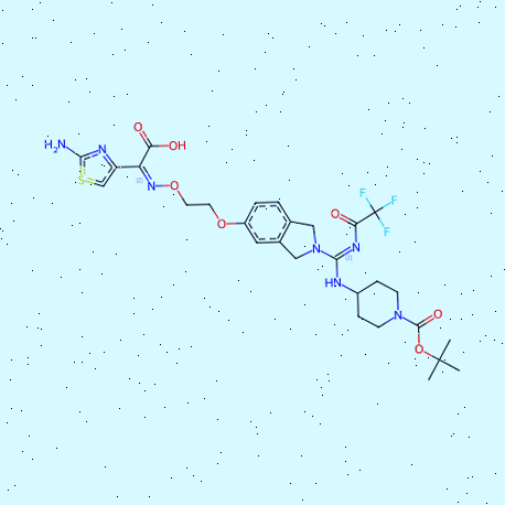 CC(C)(C)OC(=O)N1CCC(N/C(=N/C(=O)C(F)(F)F)N2Cc3ccc(OCCO/N=C(\C(=O)O)c4csc(N)n4)cc3C2)CC1